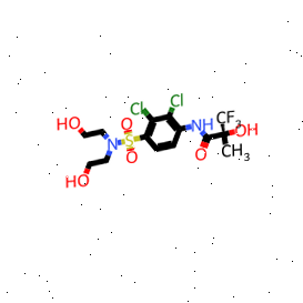 C[C@@](O)(C(=O)Nc1ccc(S(=O)(=O)N(CCO)CCO)c(Cl)c1Cl)C(F)(F)F